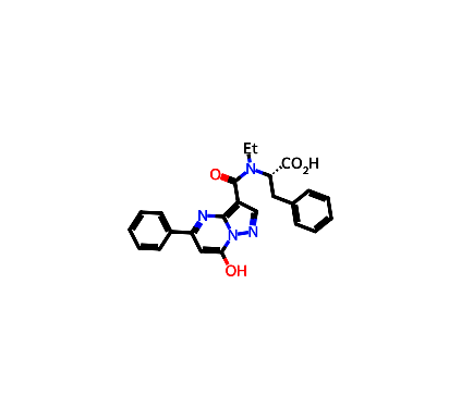 CCN(C(=O)c1cnn2c(O)cc(-c3ccccc3)nc12)[C@@H](Cc1ccccc1)C(=O)O